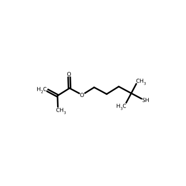 C=C(C)C(=O)OCCCC(C)(C)S